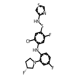 Fc1ccc(Nc2cc(F)c(SNc3cscn3)cc2Cl)c(N2CC[C@@H](F)C2)c1